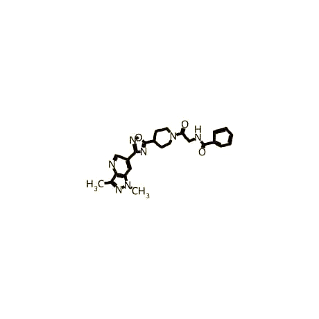 Cc1nn(C)c2cc(-c3noc(C4CCN(C(=O)CNC(=O)c5ccccc5)CC4)n3)cnc12